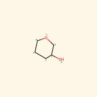 OC1CC[C]OC1